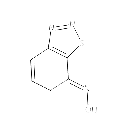 ON=C1CC=Cc2nnsc21